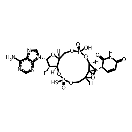 Nc1ncnc2c1ncn2[C@@H]1O[C@@H]2COP(=O)(O)O[C@@H]3[C@H](F)[C@@H](COP(=O)(S)O[C@H]2[C@H]1F)O[C@H]3C1C=CC(=O)NC1=O